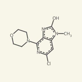 Cn1c(O)nc2c(N3CCOCC3)nc(Cl)cc21